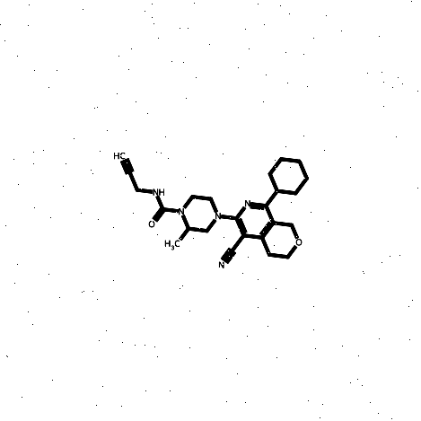 C#CCNC(=O)N1CCN(c2nc(C3CCCCC3)c3c(c2C#N)CCOC3)CC1C